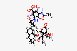 CC(=O)Nc1c(I)c(NC(C)=O)c(I)c(C(=O)O)c1I.CCC(C)(C)C(=O)O[C@H]1C[C@@H](C)C=C2C=C[C@H](C)[C@H](CC[C@@H]3C[C@@H](O)CC(=O)O3)[C@H]21